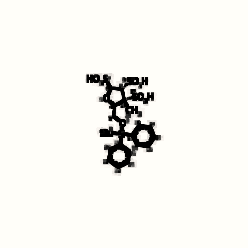 CC(C)(C)[Si](OC[C@H]1OC(S(=O)(=O)O)[C@H](S(=O)(=O)O)[C@]1(C)S(=O)(=O)O)(c1ccccc1)c1ccccc1